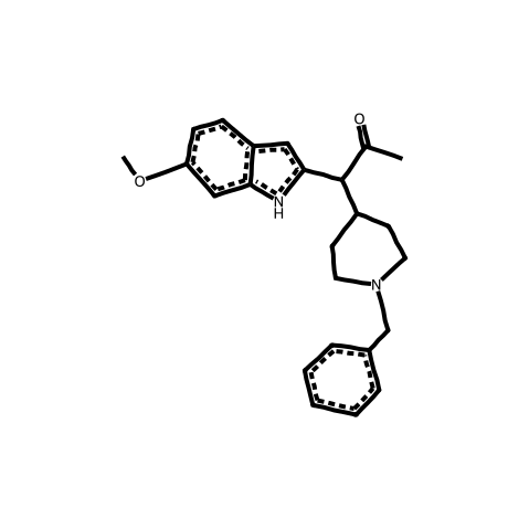 COc1ccc2cc(C(C(C)=O)C3CCN(Cc4ccccc4)CC3)[nH]c2c1